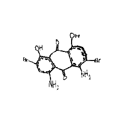 Nc1cc(Br)c(O)c2c1C(=O)c1c(N)c(Br)cc(O)c1C2=O